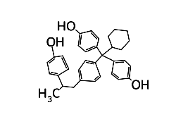 CC(Cc1ccc(C(c2ccc(O)cc2)(c2ccc(O)cc2)C2CCCCC2)cc1)c1ccc(O)cc1